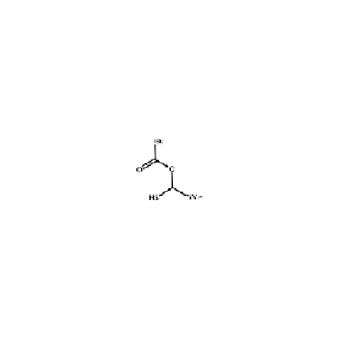 CCC(C)C(=O)OC(S)SC